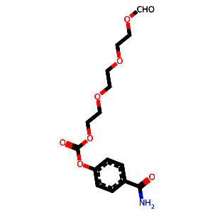 NC(=O)c1ccc(OC(=O)OCCOCCOCCOC=O)cc1